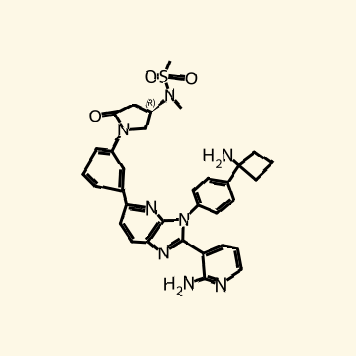 CN([C@@H]1CC(=O)N(c2cccc(-c3ccc4nc(-c5cccnc5N)n(-c5ccc(C6(N)CCC6)cc5)c4n3)c2)C1)S(C)(=O)=O